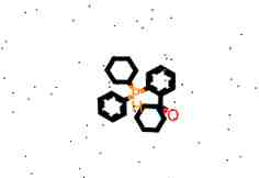 O=Cc1ccccc1[PH](c1ccccc1)(C1CCCCC1)C1CCCCC1